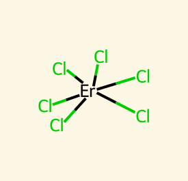 [Cl][Er]([Cl])([Cl])([Cl])([Cl])[Cl]